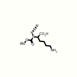 CC(C)(C)OC(=O)N(N=[N+]=[N-])C(CCCCN)C(=O)O